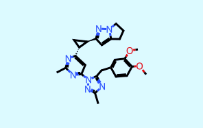 COc1ccc(Cc2nc(C)nn2-c2cc([C@@H]3C[C@H]3c3cc4n(n3)CCC4)nc(C)n2)cc1OC